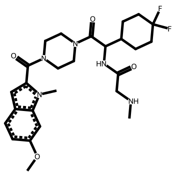 CNCC(=O)NC(C(=O)N1CCN(C(=O)c2cc3ccc(OC)cc3n2C)CC1)C1CCC(F)(F)CC1